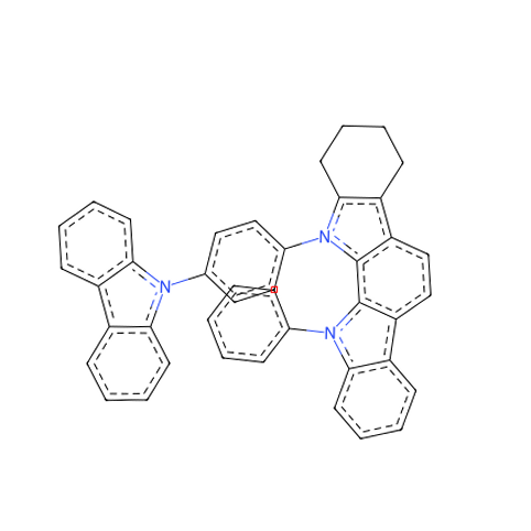 c1ccc(-n2c3ccccc3c3ccc4c5c(n(-c6ccc(-n7c8ccccc8c8ccccc87)cc6)c4c32)CCCC5)cc1